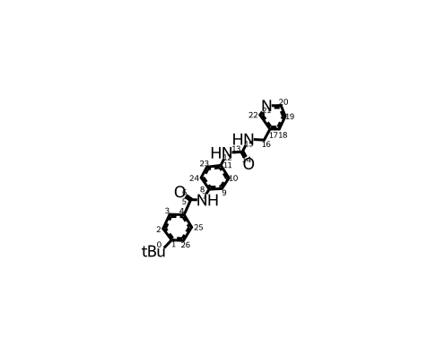 CC(C)(C)c1ccc(C(=O)Nc2ccc(NC(=O)NCc3cccnc3)cc2)cc1